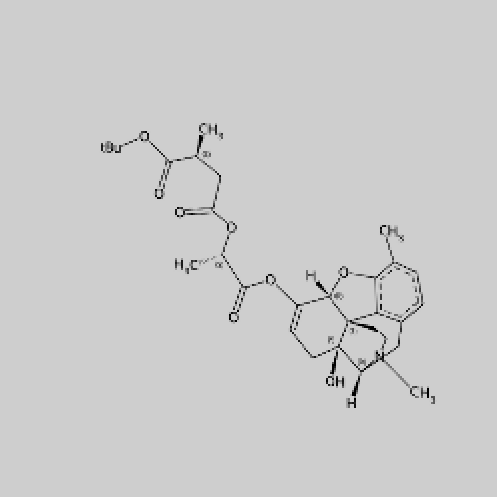 Cc1ccc2c3c1O[C@H]1C(OC(=O)[C@H](C)OC(=O)C[C@H](C)C(=O)OC(C)(C)C)=CC[C@@]4(O)[C@@H](C2)N(C)CC[C@]314